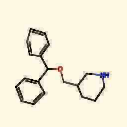 c1ccc(C(OCC2CCCNC2)c2ccccc2)cc1